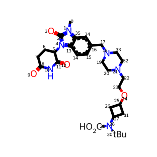 Cn1c(=O)n(C2CCC(=O)NC2=O)c2ccc(CN3CCN(CCOC4CC(N(C(=O)O)C(C)(C)C)C4)CC3)cc21